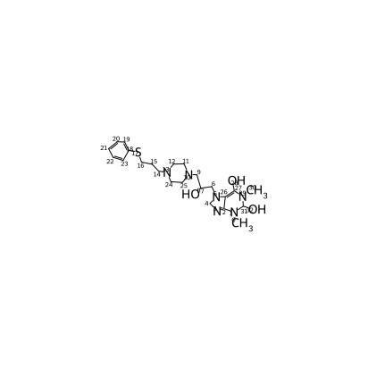 CN1C2=NCN(CC(O)CN3CCN(CCCSc4ccccc4)CC3)C2=C(O)N(C)C1O